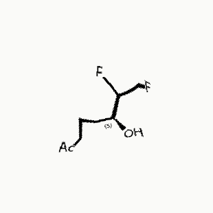 CC(=O)C[C@H](O)C(F)F